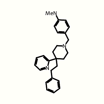 CNc1ccc(CN2CCC(CCc3ccccc3)(c3ccccn3)CC2)cc1